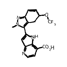 Cn1nc2c(c1-c1cc3nccc(C(=O)O)c3[nH]1)CC(OC(F)(F)F)C=C2